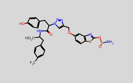 NS(=O)Oc1nc2cc(OCc3cn(C(Cc4ccc(O)cc4)C(=O)NC(Cc4ccc(C(F)(F)F)cc4)C(=O)O)nn3)ccc2s1